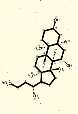 C[C@H](CCC(=O)O)C1CC[C@@]2(C)[C@@H]3[C@@H](O)C[C@@H]4C[C@H](O)CC[C@]4(C)[C@H]3CC[C@]12C